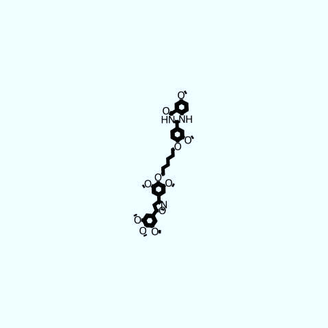 COc1ccc2c(c1)C(=O)NC(c1ccc(OCCCCCCOc3c(OC)cc(C4=NOC(c5cc(OC)c(OC)c(OC)c5)C4)cc3OC)c(OC)c1)N2